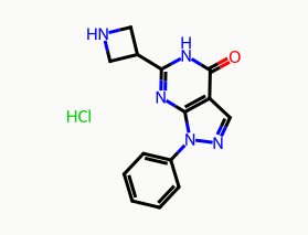 Cl.O=c1[nH]c(C2CNC2)nc2c1cnn2-c1ccccc1